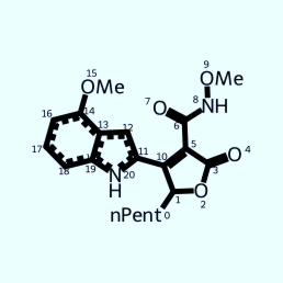 CCCCCC1OC(=O)C(C(=O)NOC)=C1c1cc2c(OC)cccc2[nH]1